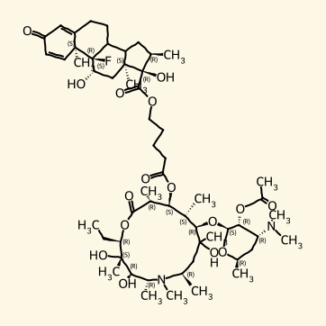 CC[C@H]1OC(=O)[C@H](C)[C@@H](OC(=O)CCCCOC(=O)[C@@]2(O)[C@H](C)CC3C4CCC5=CC(=O)C=C[C@]5(C)[C@@]4(F)[C@@H](O)C[C@@]32C)[C@H](C)[C@@H](O[C@@H]2O[C@H](C)C[C@@H](N(C)C)[C@H]2OC(C)=O)C(C)(O)C[C@@H](C)N(C)[C@H](C)[C@@H](O)[C@]1(C)O